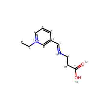 CC[n+]1cccc(C=NCCC(=O)O)c1